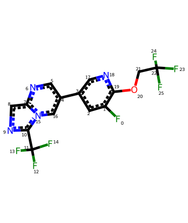 Fc1cc(-c2cnc3cnc(C(F)(F)F)n3c2)cnc1OCC(F)(F)F